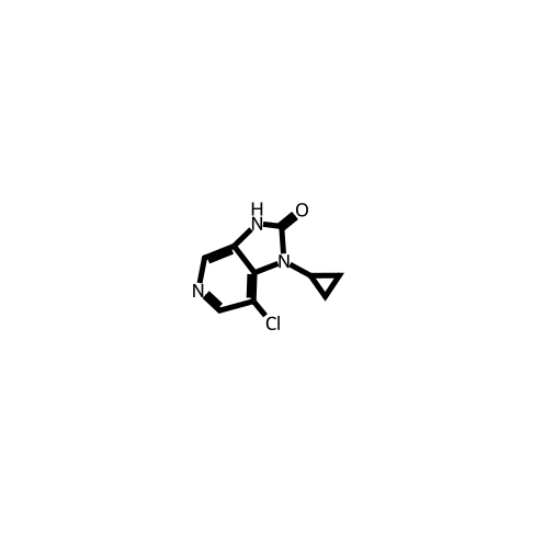 O=c1[nH]c2cncc(Cl)c2n1C1CC1